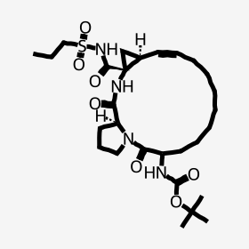 CCCS(=O)(=O)NC(=O)[C@@]12C[C@H]1/C=C\CCCCCCCC(NC(=O)OC(C)(C)C)C(=O)N1CCC[C@H]1C(=O)N2